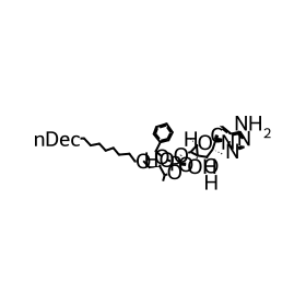 CCCCCCCCCCCCCCCCCCOC[C@@H](OCc1ccccc1)C(C)OP(=O)(O)OC1[C@H]2O[C@@](C)(c3ccc4c(N)ncnn34)[C@H](O)[C@@]12O